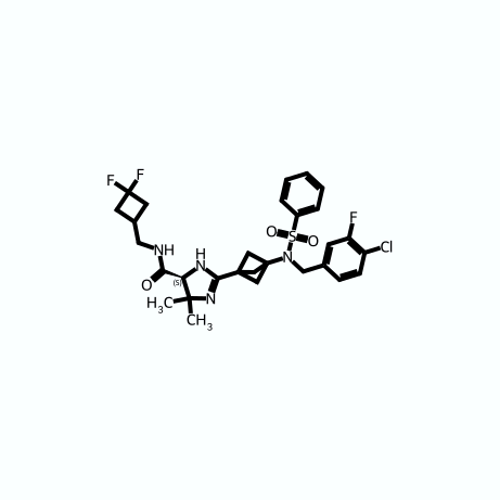 CC1(C)N=C(C23CC(N(Cc4ccc(Cl)c(F)c4)S(=O)(=O)c4ccccc4)(C2)C3)N[C@@H]1C(=O)NCC1CC(F)(F)C1